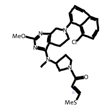 COc1nc2c(c(N(C)C3CCN(C(=O)/C=C/SC)C3)n1)CCN(c1cccc3cccc(Cl)c13)C2